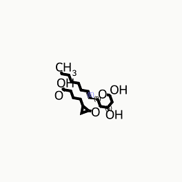 CCCCCC/C=C/[C@H]1OC(O)C[C@H](O)C1OC1CC1CCCC(=O)O